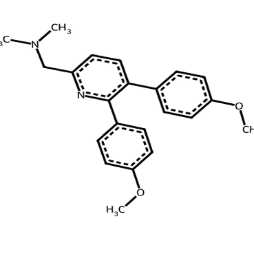 COc1ccc(-c2ccc(CN(C)C)nc2-c2ccc(OC)cc2)cc1